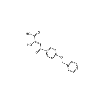 O=C(O)C(O)=CC(=O)c1ccc(OCc2ccccc2)cc1